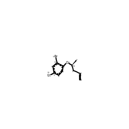 C=CC[C@H](C)Oc1ccc(CC)cc1Br